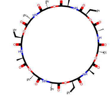 CC[C@@H]1OC(=O)[C@@H](C)NC(=O)[C@@H](CC(C)C)OC(=O)[C@H](C(C)C)NC(=O)[C@H](C(C)C)OC(=O)[C@@H](C)NC(=O)[C@@H](CC(C)C)OC(=O)[C@H](C(C)C)NC(=O)[C@H](C(C)C)OC(=O)[C@@H](C)NC(=O)[C@@H](CC(C)C)OC(=O)[C@H](C)NC1=O